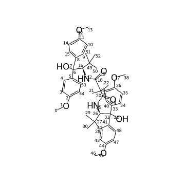 COc1ccc(C(O)(c2ccc(OC)cc2)[C@H](NC(=O)C(C)(C)C(=O)N[C@H](C(C)(C)C)C(O)(c2ccc(OC)cc2)c2ccc(OC)cc2)C(C)(C)C)cc1